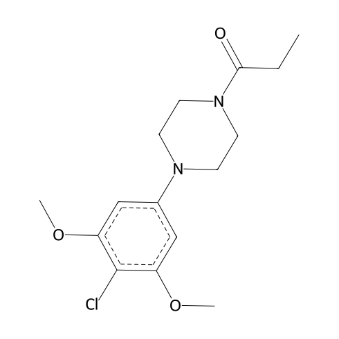 CCC(=O)N1CCN(c2cc(OC)c(Cl)c(OC)c2)CC1